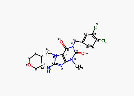 Cn1c(N[C@H]2CCCOC2)nc2c1c(=O)n(Cc1ccc(Cl)c(Cl)c1)c(=O)n2C